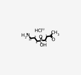 CC(=O)CCP(=O)(O)CCCN.Cl